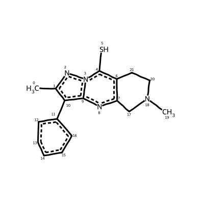 Cc1nn2c(S)c3c(nc2c1-c1ccccc1)CN(C)CC3